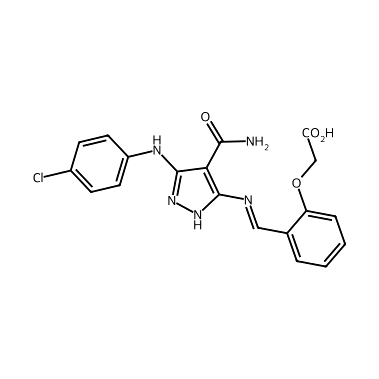 NC(=O)c1c(Nc2ccc(Cl)cc2)n[nH]c1/N=C/c1ccccc1OCC(=O)O